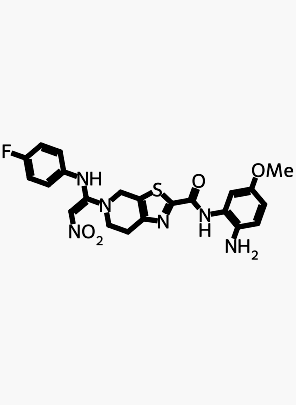 COc1ccc(N)c(NC(=O)c2nc3c(s2)CN(/C(=C\[N+](=O)[O-])Nc2ccc(F)cc2)CC3)c1